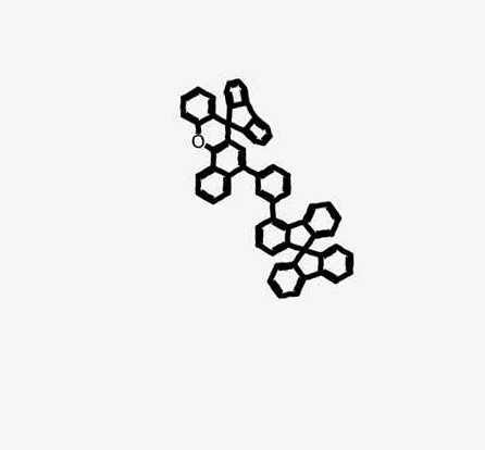 c1cc(-c2cccc3c2-c2ccccc2C32c3ccccc3-c3ccccc32)cc(-c2cc3c(c4ccccc24)Oc2ccccc2C32c3ccccc3-c3ccccc32)c1